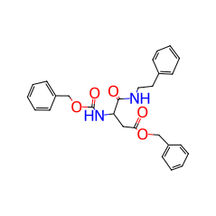 O=C(CC(NC(=O)OCc1ccccc1)C(=O)NCCc1ccccc1)OCc1ccccc1